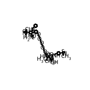 Cc1ncsc1-c1ccc(CNC(=O)C2C[C@@H](O)CN2C(=O)C(NC(=O)COCCOCCOCCOCCOc2ccc3c(c2)c2c(C(N)=O)cc(-c4c(C)noc4C)cc2n3Cc2ccccc2)C(C)(C)C)cc1